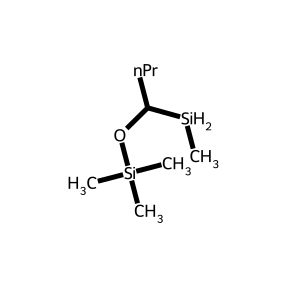 CCCC(O[Si](C)(C)C)[SiH2]C